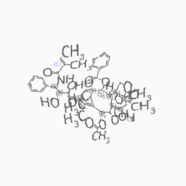 C/C=C(\C)C(=O)N[C@@H](c1ccccc1)[C@@H](O)C(=O)O[C@H]1C[C@@]2(O)[C@@H](OC(=O)c3ccccc3)[C@H]3[C@](C)(C(=O)[C@H](OC(C)=O)C(=C1C)C2(C)C)[C@@H](O)C[C@@]1(C)OC[C@@]31OC(C)=O